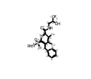 CNS(=O)(=O)c1nc(C(=O)NCC(O)C(F)(F)F)c(F)c(F)c1Cc1ccccc1